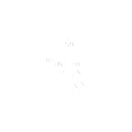 C[C@@H](NC(=O)[C@H](O)[C@@H](O)C(=O)N1CCC[C@@H]1c1cn2ccccc2n1)c1ccc(-n2cccn2)cc1